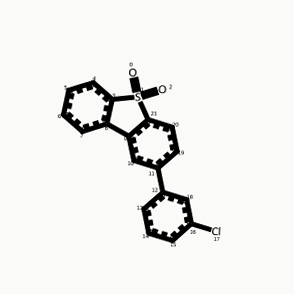 O=S1(=O)c2ccccc2-c2cc(-c3cccc(Cl)c3)ccc21